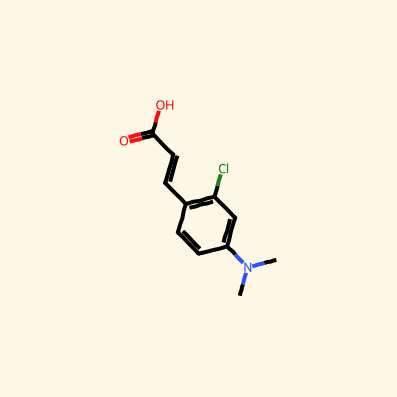 CN(C)c1ccc(C=CC(=O)O)c(Cl)c1